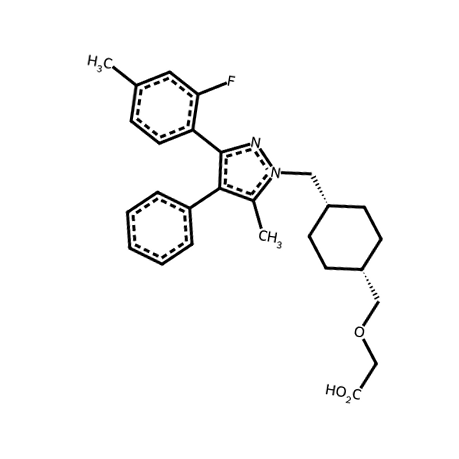 Cc1ccc(-c2nn(C[C@H]3CC[C@@H](COCC(=O)O)CC3)c(C)c2-c2ccccc2)c(F)c1